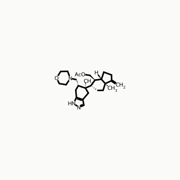 C=C1CC[C@H]2[C@H](COC(C)=O)[C@@H]([C@@]3(C)Cc4cn[nH]c4C[C@@H]3CN3CCOCC3)CC[C@]12C